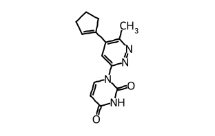 Cc1nnc(-n2ccc(=O)[nH]c2=O)cc1C1=CCCC1